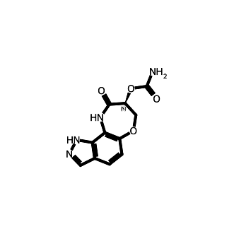 NC(=O)O[C@H]1COc2ccc3cn[nH]c3c2NC1=O